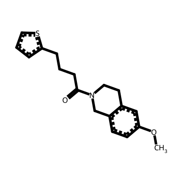 COc1ccc2c(c1)CCN(C(=O)CCCc1cccs1)C2